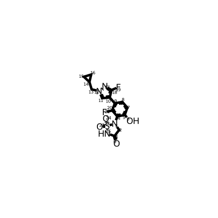 O=C1CN(c2c(O)ccc(-c3cn(CC4CC4)nc3F)c2F)S(=O)(=O)N1